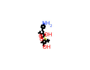 Cc1cc(SC2=C(O)C(CCc3ccc(N)cc3)C(C(C)C)OC2=O)c(C(C)(C)C)cc1CO